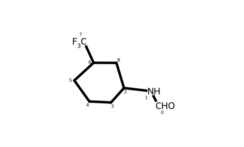 O=CNC1CCCC(C(F)(F)F)C1